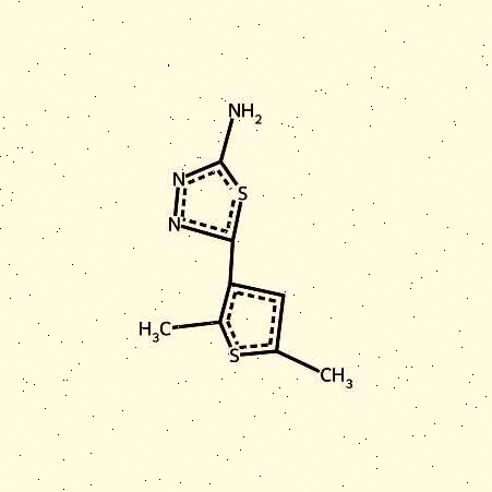 Cc1cc(-c2nnc(N)s2)c(C)s1